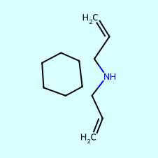 C1CCCCC1.C=CCNCC=C